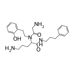 NCCCC(C(=O)NCCCc1ccccc1)N(CCc1ccccc1O)C(=O)CN